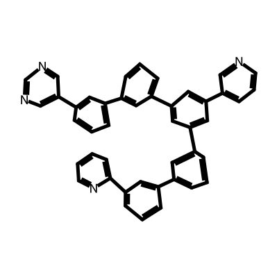 c1ccc(-c2cccc(-c3cccc(-c4cc(-c5cccnc5)cc(-c5cccc(-c6cccc(-c7cncnc7)c6)c5)c4)c3)c2)nc1